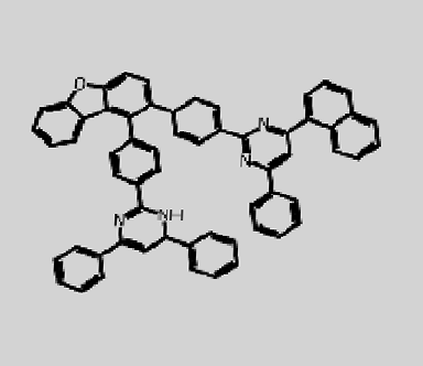 C1=CC(c2ccc3oc4ccccc4c3c2-c2ccc(C3=NC(c4ccccc4)=CC(c4ccccc4)N3)cc2)CC=C1c1nc(-c2ccccc2)cc(-c2cccc3ccccc23)n1